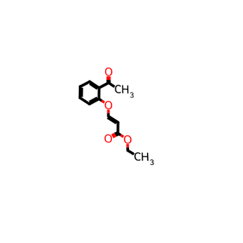 CCOC(=O)C=COc1ccccc1C(C)=O